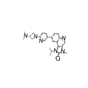 CC(C)n1c(=O)n(C)c2cnc3ccc(-c4ccc(N5CC(N(C)C)C5)nc4)cc3c21